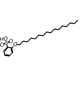 CCCCCCCCCCCCCCCCOc1ccccc1S(=O)(=O)O